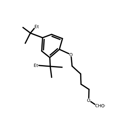 CCC(C)(C)c1ccc(OCCCCO[C]=O)c(C(C)(C)CC)c1